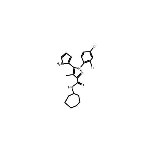 Cc1c(C(=O)NC2CCCCCC2)nn(-c2ccc(Cl)cc2Cl)c1C1=CC=C[SeH2]1